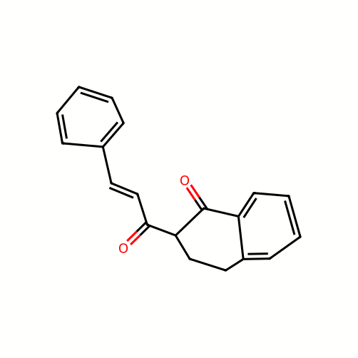 O=C(C=Cc1ccccc1)C1CCc2ccccc2C1=O